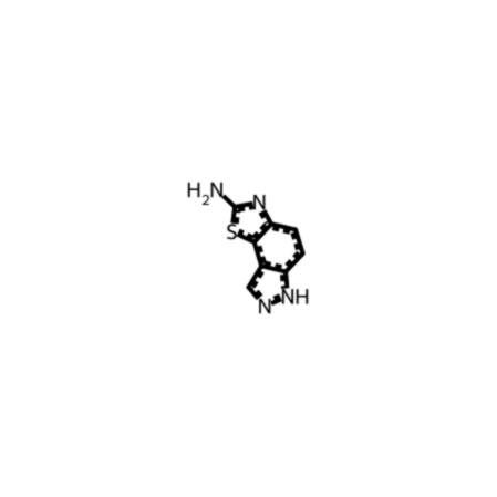 Nc1nc2ccc3[nH]ncc3c2s1